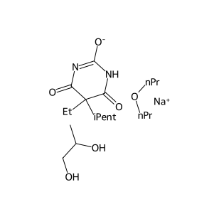 CC(O)CO.CCCC(C)C1(CC)C(=O)N=C([O-])NC1=O.CCCOCCC.[Na+]